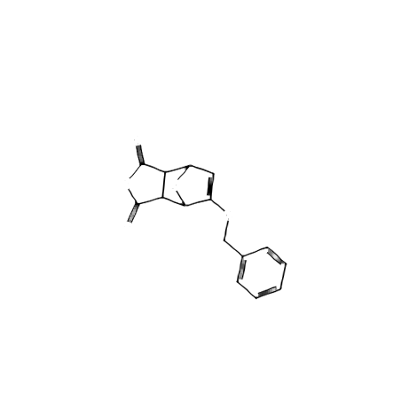 O=C1OC(=O)C2C3OC(C=C3OCc3ccccc3)C12